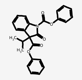 CC(C)C1(C(=O)Oc2ccccc2)C(=O)N(C(=O)Oc2ccccc2)c2ccccc21